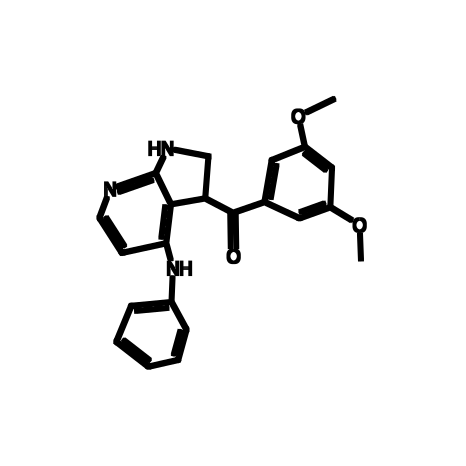 COc1cc(OC)cc(C(=O)C2CNc3nccc(Nc4ccccc4)c32)c1